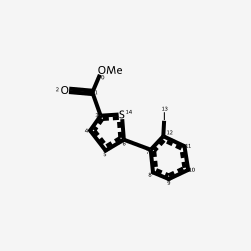 COC(=O)c1ccc(-c2ccccc2I)s1